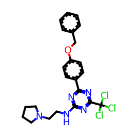 ClC(Cl)(Cl)c1nc(NCCN2CCCC2)nc(-c2ccc(OCc3ccccc3)cc2)n1